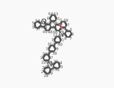 c1ccc(-c2ccccc2N(c2ccc(-c3ccc(-c4cccc(-n5c6ccccc6c6ccccc65)c4)cc3)cc2)c2cccc(-c3ccc4c(oc5ccccc54)c3-c3ccccc3)c2)cc1